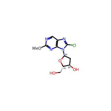 COc1ncc2nc(Cl)n([C@H]3C[C@@H](O)[C@H](CO)O3)c2n1